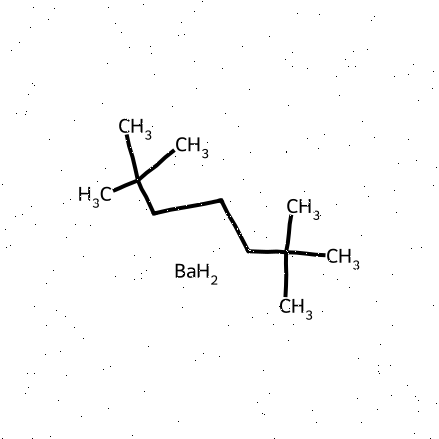 CC(C)(C)CCCC(C)(C)C.[BaH2]